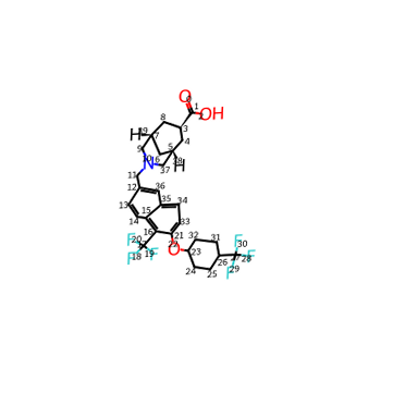 O=C(O)[C@H]1C[C@H]2C[C@@H](C1)CN(Cc1ccc3c(C(F)(F)F)c(OC4CCC(C(F)(F)F)CC4)ccc3c1)C2